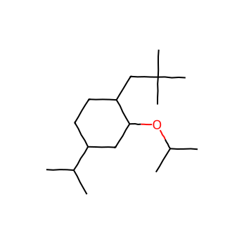 CC(C)OC1CC(C(C)C)CCC1CC(C)(C)C